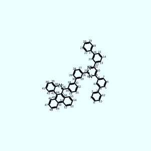 c1ccc(-c2cccc(-c3cc(-c4cccc(-c5ccccc5)c4)nc(-c4cccc(-c5cccc(-c6nc7ccccc7c7c8ccccc8c8ccccc8c67)c5)c4)n3)c2)cc1